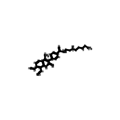 CCOCCNCCNC(=O)c1ccc(-c2c(C)c3ccc(N=O)c(C=O)c3oc2=O)cc1